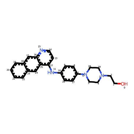 OCCN1CCN(c2ccc(Nc3ccnc4cc5ccccc5cc34)cc2)CC1